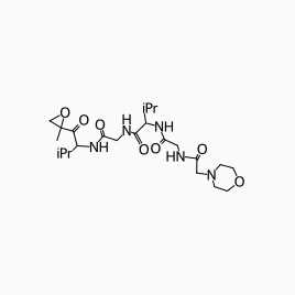 CC(C)C(NC(=O)CNC(=O)CN1CCOCC1)C(=O)NCC(=O)NC(C(=O)C1(C)CO1)C(C)C